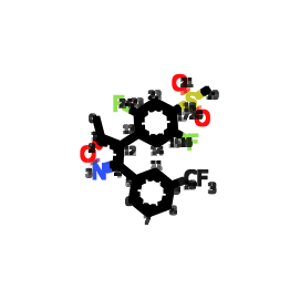 Cc1onc(-c2cccc(C(F)(F)F)c2)c1-c1cc(F)c(S(C)(=O)=O)cc1F